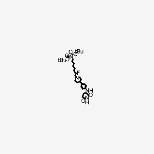 CC(C)(C)OC(=O)N(CCCCCCC(F)CN1CCC(c2ccc(NC3CCC(=O)NC3=O)cc2)CC1)C(=O)OC(C)(C)C